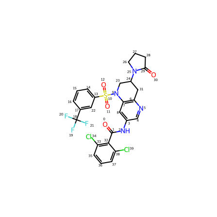 O=C(Nc1cnc2c(c1)N(S(=O)(=O)c1cccc(C(F)(F)F)c1)CC(N1CCCC1=O)C2)c1c(Cl)cccc1Cl